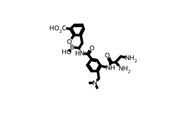 CN(C)Cc1ccc(C(=O)N[C@H]2Cc3cccc(C(=O)O)c3OB2O)cc1NC(=O)C(N)CN